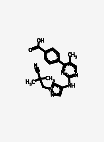 Cc1cnc(Nc2cnn(CC(C)(C)C#N)c2)nc1-c1ccc(C(=O)O)cc1